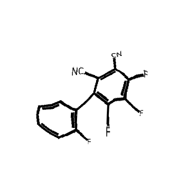 N#Cc1c(F)c(F)c(F)c(-c2ccc[c]c2F)c1C#N